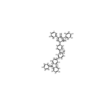 c1ccc(C2=NC(c3ccc4c(c3)oc3ccc(-c5ccc6c(c5)c5ccccc5n6-c5ccccc5)cc34)NC(c3ccccc3)N2)cc1